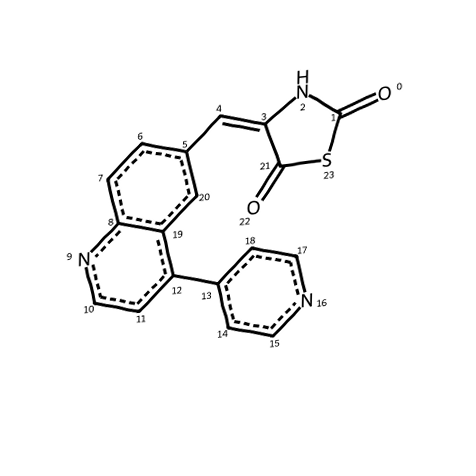 O=C1NC(=Cc2ccc3nccc(-c4ccncc4)c3c2)C(=O)S1